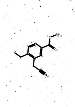 CCc1ccc(C(=O)ON)cc1CC#N